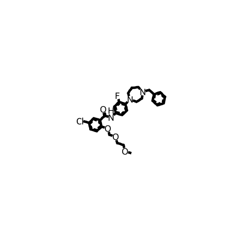 COCCOCOc1ccc(Cl)cc1C(=O)Nc1ccc(N2CCCN(Cc3ccccc3)CC2)c(F)c1